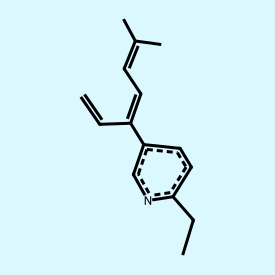 C=C/C(=C\C=C(C)C)c1ccc(CC)nc1